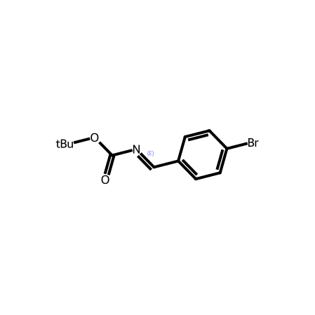 CC(C)(C)OC(=O)/N=C/c1ccc(Br)cc1